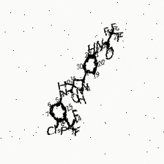 CC1(C(=O)Nc2ccc(Cl)c(C(F)(F)F)c2)CC(c2ccc(NC(=O)C(F)(F)F)cc2)=NN1